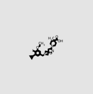 CCOc1cc(CN2CC3(CC(N4CCC(C)(C(=O)O)CC4)=NO3)C2)cc(C2CC2)c1I